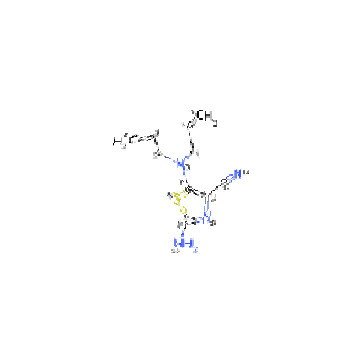 C=CCN(CC=C)c1sc(N)nc1C#N